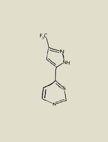 FC(F)(F)c1cc(-c2ccncn2)[nH]n1